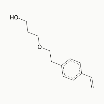 C=Cc1ccc(CCOCCCO)cc1